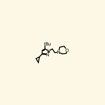 CC(C)(C)c1cc(C2CC2)nn1CCN1CCOCC1